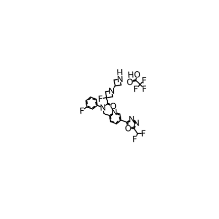 O=C(N(Cc1ccc(-c2nnc(C(F)F)o2)cn1)c1cccc(F)c1)C1(F)CN(C2CNC2)C1.O=C(O)C(F)(F)F